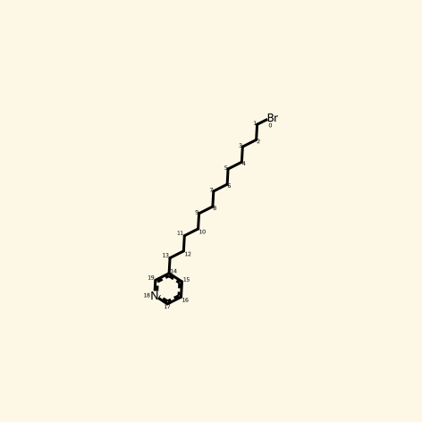 BrCCCCCCCCCCCCCc1cccnc1